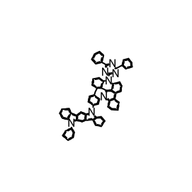 c1ccc(-c2nc(-c3ccccc3)nc(N3c4cccc(-c5ccc(-n6c7ccccc7c7cc8c(cc76)c6ccccc6n8-c6ccccc6)cc5)c4-c4nc5ccccc5c5cccc3c45)n2)cc1